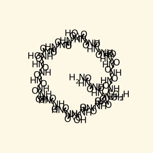 NCC(=O)NCC(=O)NCC(=O)NCC(=O)N[C@@H](CO)C(=O)NCC(=O)NCC(=O)NCC(=O)NCC(=O)N[C@@H](CO)C(=O)NCC(=O)NCC(=O)NCC(=O)NCC(=O)N[C@@H](CO)C(=O)NCC(=O)NCC(=O)NCC(=O)NCC(=O)N[C@@H](CO)C(=O)NCC(=O)NCC(=O)NCC(=O)NCC(=O)N[C@@H](CO)C(=O)NCC(=O)NCC(=O)NCC(=O)NCC(=O)N[C@@H](CO)C(=O)NCC(=O)NCC(=O)NCC(=O)NCC(=O)O